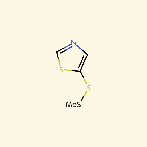 CSSc1cncs1